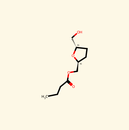 CCCC(=O)OC[C@@H]1CC[C@@H](CO)O1